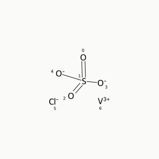 O=S(=O)([O-])[O-].[Cl-].[V+3]